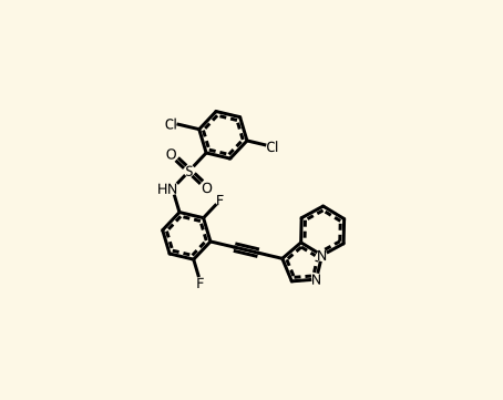 O=S(=O)(Nc1ccc(F)c(C#Cc2cnn3ccccc23)c1F)c1cc(Cl)ccc1Cl